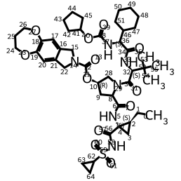 CC[C@H]1C[C@@]1(NC(=O)C1C[C@@H](OC(=O)N2Cc3cc4c(cc3C2)OCCCO4)CN1C(=O)[C@@H](NC(=O)[C@@H](NC(=O)OC1CCCC1)C1CCCCC1)C(C)(C)C)C(=O)NS(=O)(=O)C1CC1